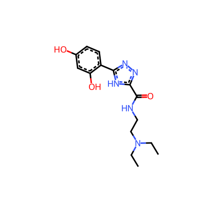 CCN(CC)CCNC(=O)c1nnc(-c2ccc(O)cc2O)[nH]1